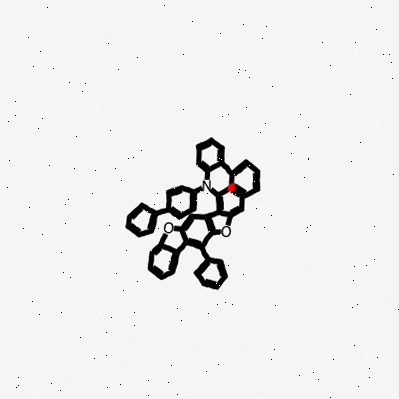 c1ccc(-c2ccc(N(c3ccccc3-c3ccccc3)c3cccc4oc5c(-c6ccccc6)c6c(cc5c34)oc3ccccc36)cc2)cc1